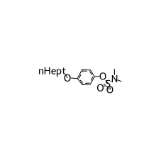 CCCCCCCOc1ccc(OS(=O)(=O)N(C)C)cc1